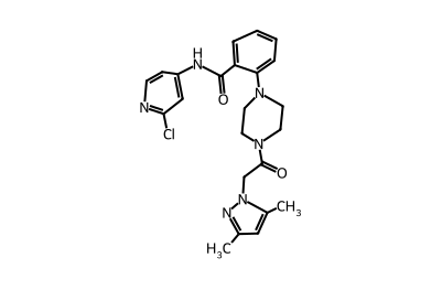 Cc1cc(C)n(CC(=O)N2CCN(c3ccccc3C(=O)Nc3ccnc(Cl)c3)CC2)n1